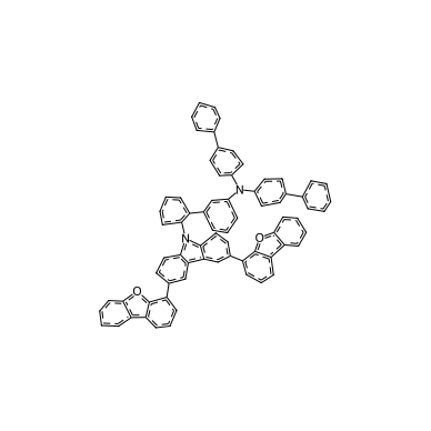 c1ccc(-c2ccc(N(c3ccc(-c4ccccc4)cc3)c3cccc(-c4ccccc4-n4c5ccc(-c6cccc7c6oc6ccccc67)cc5c5cc(-c6cccc7c6oc6ccccc67)ccc54)c3)cc2)cc1